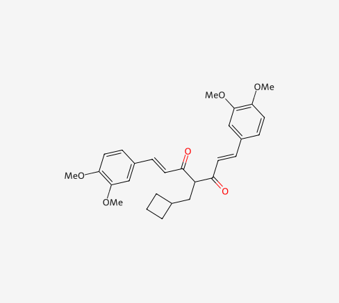 COc1ccc(C=CC(=O)C(CC2CCC2)C(=O)C=Cc2ccc(OC)c(OC)c2)cc1OC